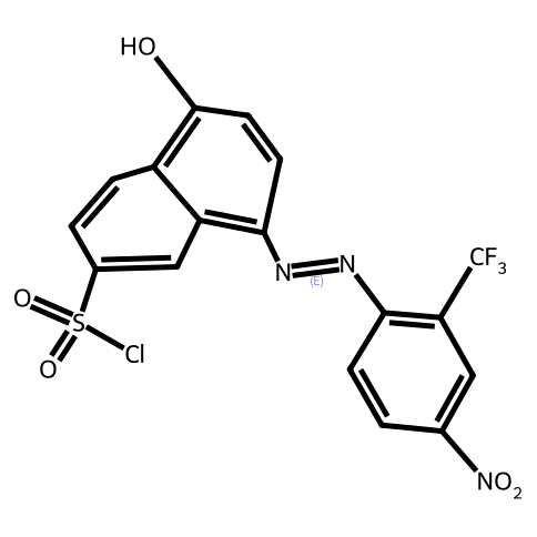 O=[N+]([O-])c1ccc(/N=N/c2ccc(O)c3ccc(S(=O)(=O)Cl)cc23)c(C(F)(F)F)c1